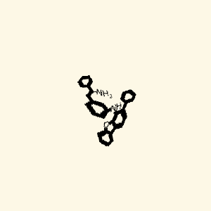 N[C@H](Cc1cccc(Nc2c(-c3ccccc3)ccc3c2oc2ccccc23)c1)c1ccccc1